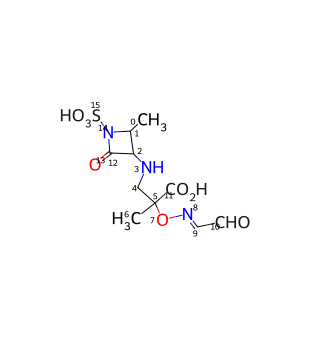 CC1C(NCC(C)(ON=CC=O)C(=O)O)C(=O)N1S(=O)(=O)O